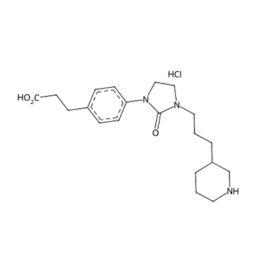 Cl.O=C(O)CCc1ccc(N2CCN(CCCC3CCCNC3)C2=O)cc1